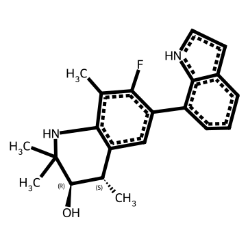 Cc1c(F)c(-c2cccc3cc[nH]c23)cc2c1NC(C)(C)[C@H](O)[C@H]2C